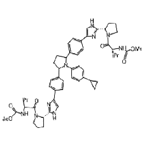 COC(=O)N[C@H](C(=O)N1CCC[C@H]1c1nc(-c2ccc(C3CCC(c4ccc(-c5c[nH]c([C@@H]6CCCN6C(=O)[C@@H](NC(=O)OC)C(C)C)n5)cc4)N3c3ccc(C4CC4)cc3)cc2)c[nH]1)C(C)C